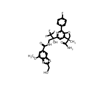 COc1cc(C(=O)NC[C@](O)(c2cc3c(c(-c4ccc(F)cc4)n2)OC[C@]3(C)C(N)=O)C(F)(F)F)cc2sc(CO)nc12